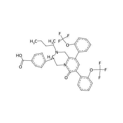 CCCC(C)N(C)Cc1c(-c2ccccc2OC(F)(F)F)cc(-c2ccccc2OC(F)(F)F)c(=O)n1CCc1ccc(C(=O)O)cc1